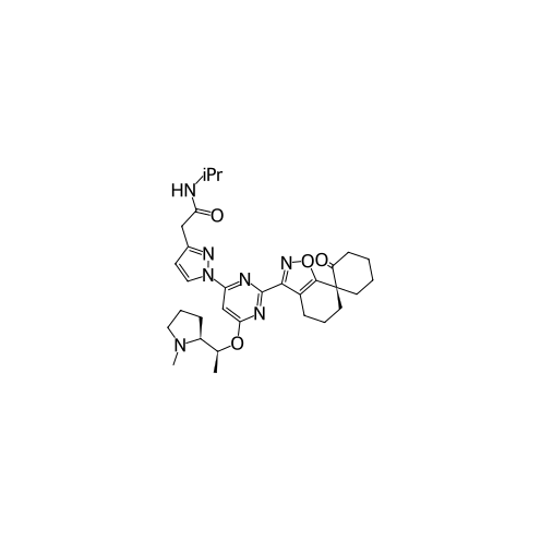 CC(C)NC(=O)Cc1ccn(-c2cc(O[C@@H](C)[C@@H]3CCCN3C)nc(-c3noc4c3CCC[C@@]43CCCCC3=O)n2)n1